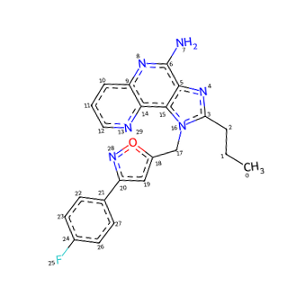 CCCc1nc2c(N)nc3cccnc3c2n1Cc1cc(-c2ccc(F)cc2)no1